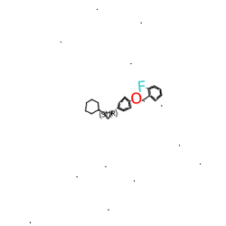 Fc1ccccc1COc1ccc([C@@H]2C[C@H]2C2CCCCC2)cc1